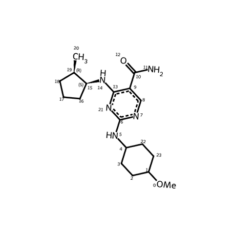 COC1CCC(Nc2ncc(C(N)=O)c(N[C@H]3CCC[C@H]3C)n2)CC1